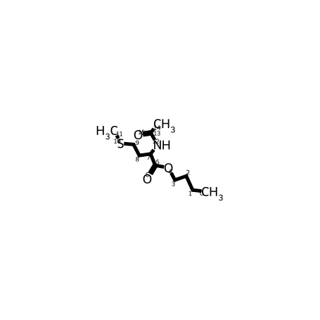 CCCCOC(=O)C(CCSC)NC(C)=O